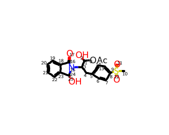 CC(=O)OC(O)C(Cc1ccc(S(C)(=O)=O)cc1)N1C(=O)c2ccccc2C1O